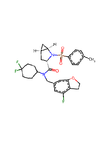 Cc1ccc(S(=O)(=O)N2[C@@H]3C[C@@H]3C[C@H]2C(=O)N(Cc2cc(F)c3c(c2)OCC3)C2CCC(F)(F)CC2)cc1